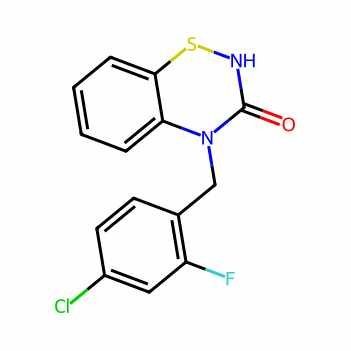 O=C1NSc2ccccc2N1Cc1ccc(Cl)cc1F